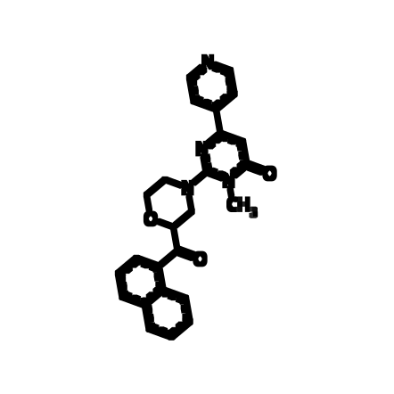 Cn1c(N2CCOC(C(=O)c3cccc4ccccc34)C2)nc(-c2ccncc2)cc1=O